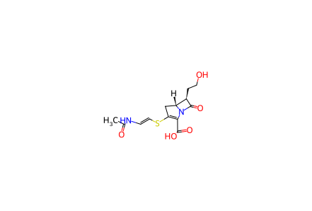 CC(=O)N/C=C/SC1=C(C(=O)O)N2C(=O)[C@H](CCO)[C@H]2C1